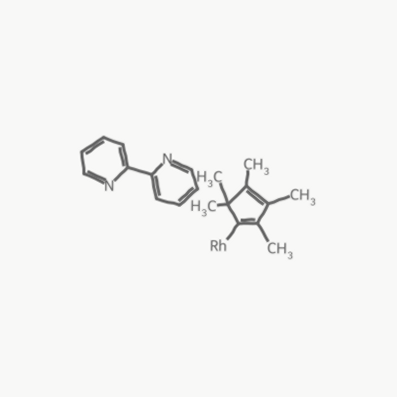 CC1=C(C)C(C)(C)[C]([Rh])=C1C.c1ccc(-c2ccccn2)nc1